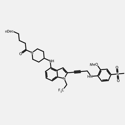 CCCCCCCCCCCCCC(=O)N1CCC(Nc2cccc3c2cc(C#CCNc2ccc(S(C)(=O)=O)cc2OC)n3CC(F)(F)F)CC1